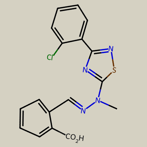 CN(N=Cc1ccccc1C(=O)O)c1nc(-c2ccccc2Cl)ns1